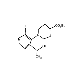 CCOC(=O)C1CCN(c2c(F)cccc2C(C)O)CC1